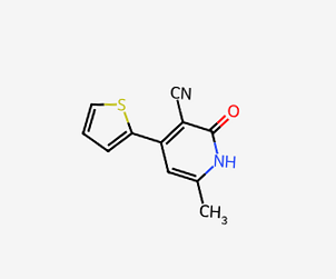 Cc1cc(-c2cccs2)c(C#N)c(=O)[nH]1